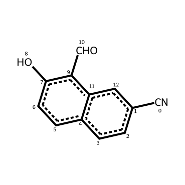 N#Cc1ccc2ccc(O)c(C=O)c2c1